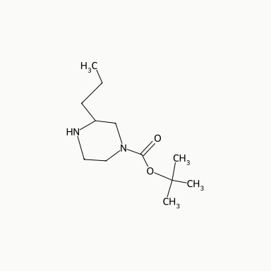 CCCC1CN(C(=O)OC(C)(C)C)CCN1